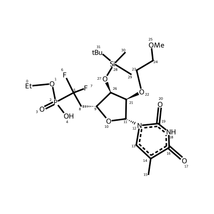 CCOP(=O)(O)C(F)(F)C[C@H]1O[C@@H](n2cc(C)c(=O)[nH]c2=O)[C@H](OCCOC)[C@@H]1O[Si](C)(C)C(C)(C)C